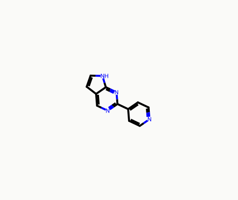 c1cc(-c2ncc3cc[nH]c3n2)ccn1